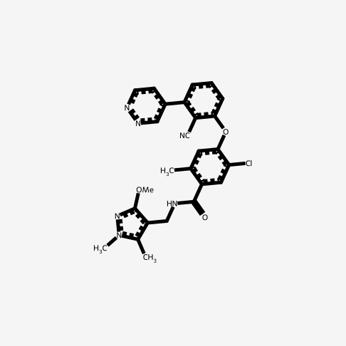 COc1nn(C)c(C)c1CNC(=O)c1cc(Cl)c(Oc2cccc(-c3ccnnc3)c2C#N)cc1C